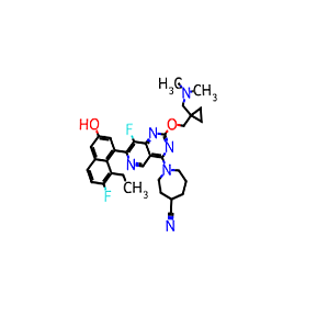 CCc1c(F)ccc2cc(O)cc(-c3ncc4c(N5CCCC(C#N)CC5)nc(OCC5(CN(C)C)CC5)nc4c3F)c12